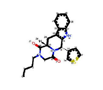 CCCCN1CC(=O)N2[C@@H](c3ccsc3)c3[nH]c4ccccc4c3C[C@H]2C1=O